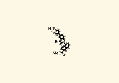 COC(=O)c1ccc2c(N(Cc3ccc(-c4ccc(C)nc4)cc3)C(=O)CC(C)(C)C)nccc2c1